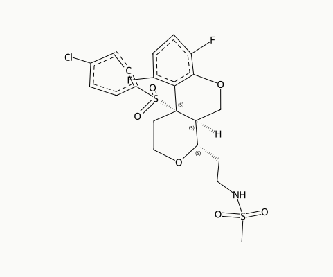 CS(=O)(=O)NCC[C@@H]1OCC[C@@]2(S(=O)(=O)c3ccc(Cl)cc3)c3c(F)ccc(F)c3OC[C@@H]12